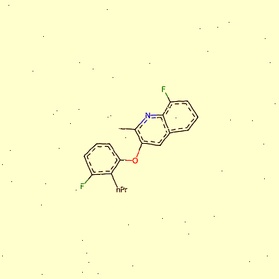 CCCc1c(F)cccc1Oc1cc2cccc(F)c2nc1C